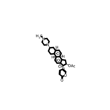 CC(=O)O[C@H]1C[C@]2(O)[C@@H]3CC[C@@H]4C[C@@H](N5CCN(C)CC5)CC[C@]4(C)[C@H]3CC[C@]2(C)[C@H]1c1ccc(=O)oc1